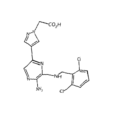 Nc1ncc(-c2cnn(CC(=O)O)c2)nc1NCc1c(Cl)cccc1Cl